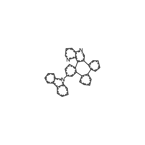 c1ccc2c(c1)-c1ccccc1-c1cnc3cccnc3c1-c1ccc(-n3c4ccccc4c4ccccc43)cc1-2